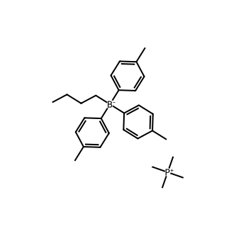 CCCC[B-](c1ccc(C)cc1)(c1ccc(C)cc1)c1ccc(C)cc1.C[P+](C)(C)C